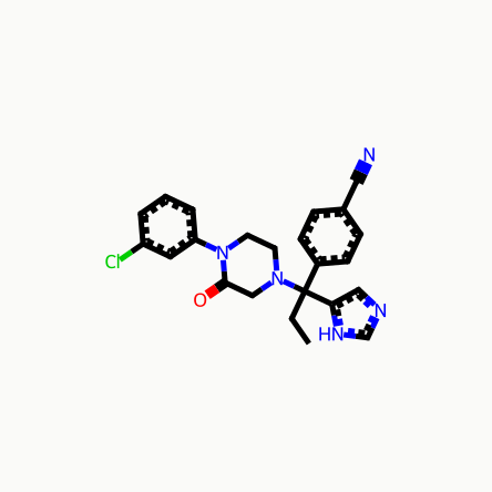 CCC(c1ccc(C#N)cc1)(c1cnc[nH]1)N1CCN(c2cccc(Cl)c2)C(=O)C1